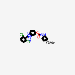 COc1ccc(NC(=O)Oc2ccc3nc(-c4c(Cl)cccc4Cl)[nH]c3c2)cc1